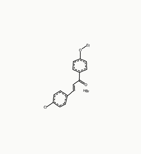 Br.CCOc1ccc(C(=O)C=Cc2ccc(Cl)cc2)cc1